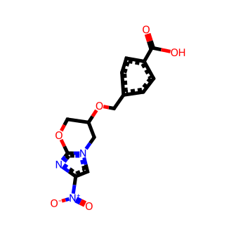 O=C(O)c1ccc(COC2COc3nc([N+](=O)[O-])cn3C2)cc1